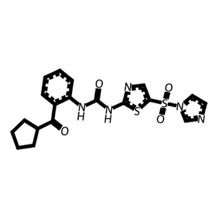 O=C(Nc1ncc(S(=O)(=O)n2ccnc2)s1)Nc1ccccc1C(=O)C1CCCC1